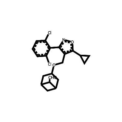 O=CC1C2CC(OCc3c(-c4c(Cl)cccc4Cl)noc3C3CC3)CC1C2